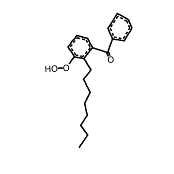 CCCCCCCCc1c(OO)cccc1C(=O)c1ccccc1